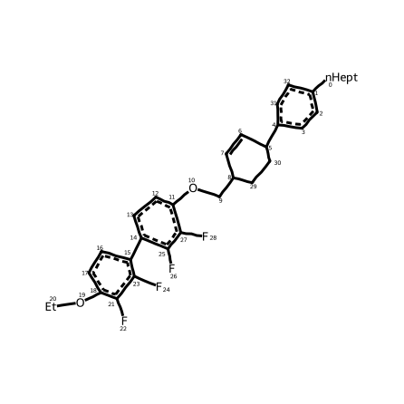 CCCCCCCc1ccc(C2C=CC(COc3ccc(-c4ccc(OCC)c(F)c4F)c(F)c3F)CC2)cc1